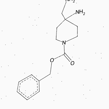 NCC1(N)CCN(C(=O)OCc2ccccc2)CC1